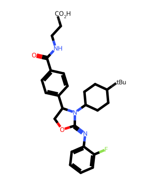 CC(C)(C)C1CCC(N2C(=Nc3ccccc3F)OCC2c2ccc(C(=O)NCCC(=O)O)cc2)CC1